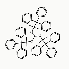 CC(C)(OP(OC(C)(C)C(c1ccccc1)(c1ccccc1)c1ccccc1)OC(C)(C)C(c1ccccc1)(c1ccccc1)c1ccccc1)C(c1ccccc1)(c1ccccc1)c1ccccc1